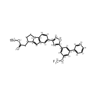 CC(C)(C)OC(=O)CC1CCn2c1cc1cc(-c3noc(-c4cc(OC(F)(F)F)cc(-c5cccnc5)c4)n3)ccc12